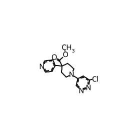 COC(=O)C1(c2ccncc2)CCN(c2cnnc(Cl)c2)CC1